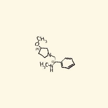 CN[C@H](CN1CC[C@@H](OC)C1)c1ccccc1